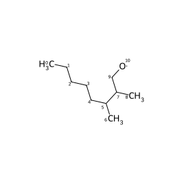 CCCCCC(C)C(C)C[O]